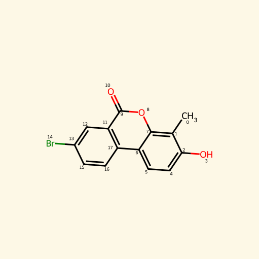 Cc1c(O)ccc2c1oc(=O)c1cc(Br)ccc12